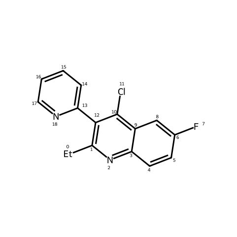 CCc1nc2ccc(F)cc2c(Cl)c1-c1ccccn1